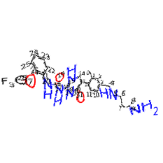 Cc1cc(CNCCCN)ccc1-c1c[nH]c(NC(=O)Nc2ccccc2OC(F)(F)F)nc1=O